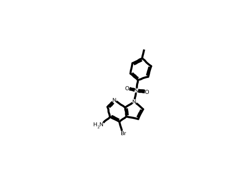 Cc1ccc(S(=O)(=O)n2ccc3c(Br)c(N)cnc32)cc1